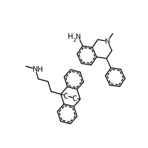 CN1Cc2c(N)cccc2C(c2ccccc2)C1.CNCCCC12CCC(c3ccccc31)c1ccccc12